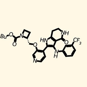 CC(C)(C)OC(=O)N1CC[C@@H]1COc1cnccc1-c1[nH]c2c(c1Nc1cccc(C(F)(F)F)c1)C(=O)NCC2